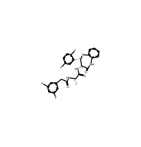 C[C@H](NC(=O)Cc1cc(F)cc(F)c1)C(=O)N[C@H]1C(=O)Nc2ccccc2S[C@H]1c1cc(F)ccc1F